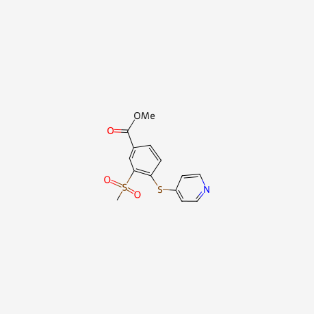 COC(=O)c1ccc(Sc2ccncc2)c(S(C)(=O)=O)c1